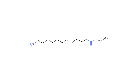 CC(C)(C)CCNCCCCCCCCCCCN